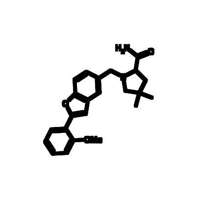 COc1ccccc1-c1cc2cc(CN3CC(C)(C)CC3C(N)=O)ccc2o1